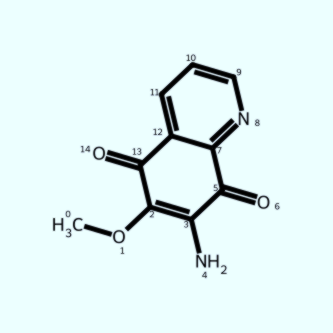 COC1=C(N)C(=O)c2ncccc2C1=O